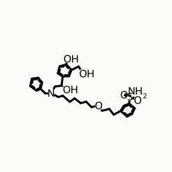 NS(=O)(=O)c1cccc(CCCOCCCCCCCN(Cc2ccccc2)C[C@@H](O)c2ccc(O)c(CO)c2)c1